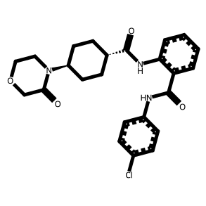 O=C(Nc1ccc(Cl)cc1)c1ccccc1NC(=O)[C@H]1CC[C@H](N2CCOCC2=O)CC1